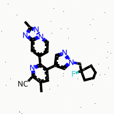 Cc1nc2cc(-c3nc(C#N)c(C)cc3-c3cnn(CC4(F)CCCC4)c3)ccn2n1